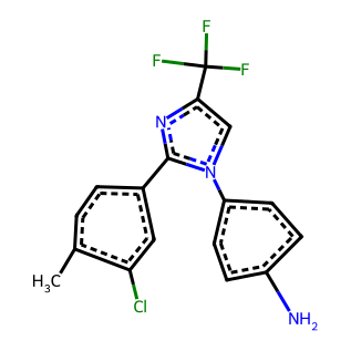 Cc1ccc(-c2nc(C(F)(F)F)cn2-c2ccc(N)cc2)cc1Cl